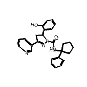 O=C(NC1(c2ccccc2)CCCC1)N1N=C(c2cccnc2)CC1c1ccccc1O